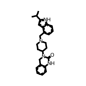 CC(C)c1cc2c(CN3CCC(N4Cc5ccccc5NC4=O)CC3)cccc2[nH]1